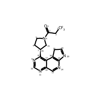 O=C(CC(F)(F)F)N1CC[C@H](c2ncnc3cnc4c(c23)CC=N4)C1